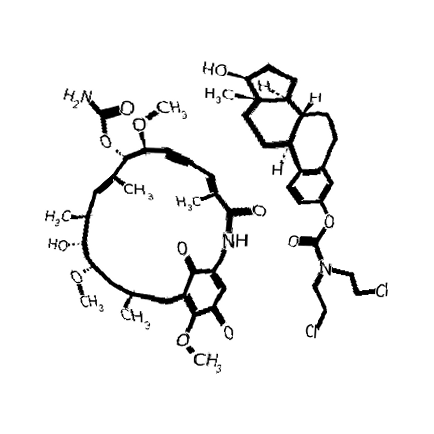 COC1=C2C[C@@H](C)C[C@H](OC)[C@H](O)[C@@H](C)/C=C(\C)[C@H](OC(N)=O)[C@@H](OC)/C=C\C=C(/C)C(=O)NC(=CC1=O)C2=O.C[C@]12CC[C@@H]3c4ccc(OC(=O)N(CCCl)CCCl)cc4CC[C@H]3[C@@H]1CC[C@@H]2O